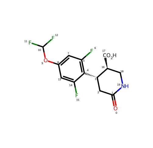 O=C1C[C@H](c2c(F)cc(OC(F)F)cc2F)[C@@H](C(=O)O)CN1